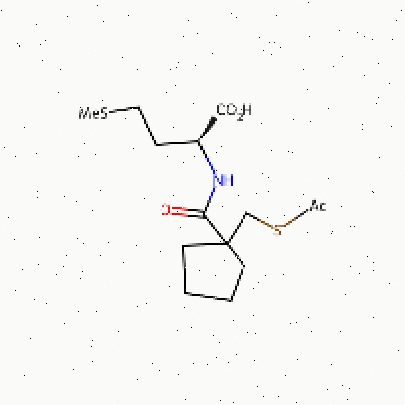 CSCC[C@H](NC(=O)C1(CSC(C)=O)CCCC1)C(=O)O